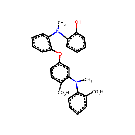 CN(c1ccccc1O)c1ccccc1Oc1ccc(C(=O)O)c(N(C)c2ccccc2C(=O)O)c1